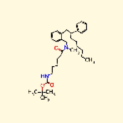 CCCCCCC(Cc1ccccc1CN(C)C(=O)CCCCCNC(=O)OC(C)(C)C)c1ccccc1